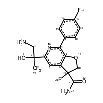 NCC(O)(c1cc2c(c(-c3ccc(F)cc3)n1)OCC2(F)C(N)=O)C(F)(F)F